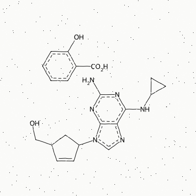 Nc1nc(NC2CC2)c2ncn(C3C=CC(CO)C3)c2n1.O=C(O)c1ccccc1O